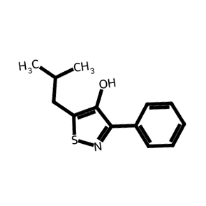 CC(C)Cc1snc(-c2ccccc2)c1O